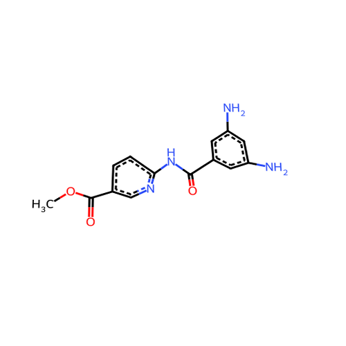 COC(=O)c1ccc(NC(=O)c2cc(N)cc(N)c2)nc1